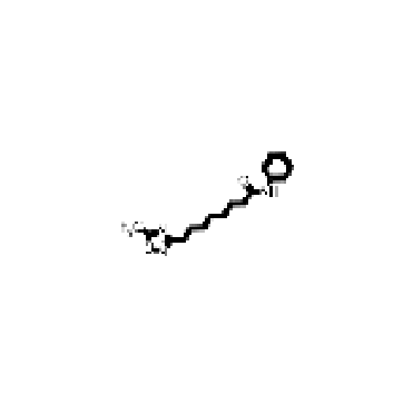 O=C(CCCCCCCc1noc(C(F)(F)F)n1)Nc1ccccc1